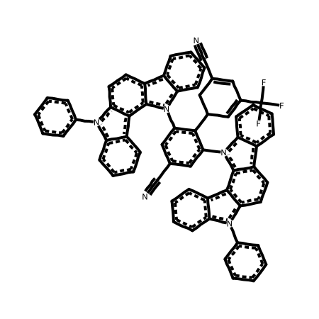 N#CC1=CC(C(F)(F)F)=CC(c2c(-n3c4ccccc4c4ccc5c(c6ccccc6n5-c5ccccc5)c43)cc(C#N)cc2-n2c3ccccc3c3ccc4c(c5ccccc5n4-c4ccccc4)c32)C1